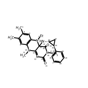 CCN1c2cc(C)c(C)cc2N(C)C2=NC(=O)N(C)C(=O)C21N[C@@H]1C[C@H]1c1ccccc1